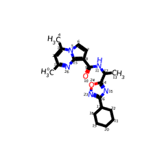 Cc1cc(C)n2ccc(C(=O)NC(C)c3nc(C4CCCCC4)no3)c2n1